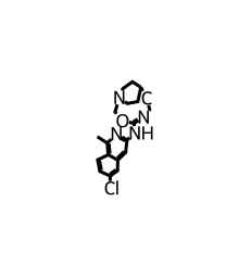 Cc1nc(N/C2=N/CCC3CCN(CC3)CO2)cc2cc(Cl)ccc12